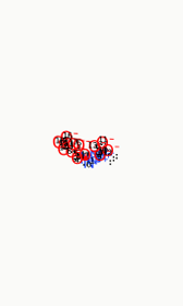 [N+3].[N+3].[N+3].[N+3].[O-][Si]([O-])([O-])[O-].[O-][Si]([O-])([O-])[O-].[O-][Si]([O-])([O-])[O-]